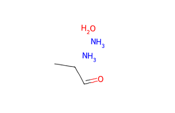 CCC=O.N.N.O